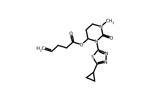 C=CCCC(=O)OC1CCN(C)C(=O)N1c1nnc(C2CC2)s1